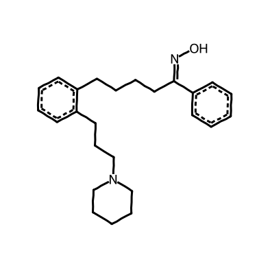 ON=C(CCCCc1ccccc1CCCN1CCCCC1)c1ccccc1